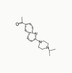 CC(=O)c1ccc2nc(N3CCN(C(C)C)CC3)ccc2c1